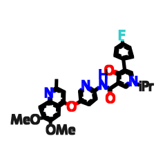 COc1cc2nc(C)cc(Oc3ccc(NC(=O)c4cn(C(C)C)cc(-c5ccc(F)cc5)c4=O)nc3)c2cc1OC